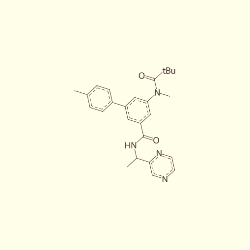 Cc1ccc(-c2cc(C(=O)NC(C)c3cnccn3)cc(N(C)C(=O)C(C)(C)C)c2)cc1